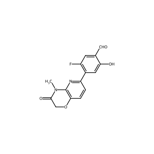 CN1C(=O)COc2ccc(-c3cc(O)c(C=O)cc3F)nc21